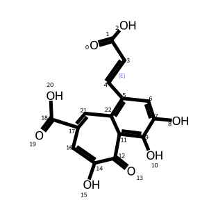 O=C(O)/C=C/c1cc(O)c(O)c2c(=O)c(O)cc(C(=O)O)cc12